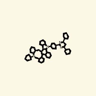 c1ccc(-c2cc(-c3ccccc3)nc(-c3ccc(-n4c5ccccc5c5c6cc7ccccc7n(-c7ccccc7)cc7ccccc7c6c6ccccc6c54)cc3)n2)cc1